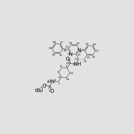 CC(C)(C)OC(=O)NCC1CCC(C(=O)N[C@@H](Cc2ccccc2)c2nccc(-c3ccccc3)n2)CC1